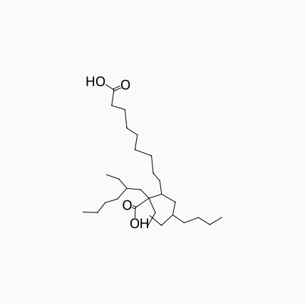 CCCCC(CC)CC(CCCCCCCCC(=O)O)C(CC)(CC(CC)CCCC)C(=O)O